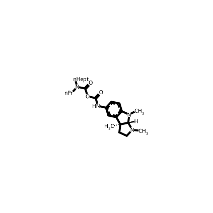 CCCCCCCN(CCC)C(=O)OC(=O)Nc1ccc2c(c1)[C@]1(C)CCN(C)[C@H]1N2C